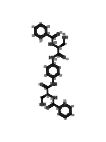 O=C(N[C@@H](CO)C(=O)Nc1ccc(NC(=O)[C@H](CO)NC(=O)c2ccccn2)cc1)c1ccccn1